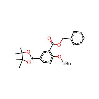 CCCCOc1ccc(B2OC(C)(C)C(C)(C)O2)cc1C(=O)OCc1ccccc1